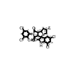 CC(=O)Oc1c(Cl)cc(Cl)cc1N1C(=O)C2C3C[C@H](F)CN3C3(c4cc(Cl)cc(Cl)c4NC3O)C2C1=O